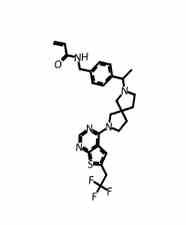 C=CC(=O)NCc1ccc(C(C)N2CCC3(CCN(c4ncnc5sc(CC(F)(F)F)cc45)C3)C2)cc1